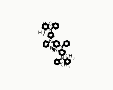 Cc1ccccc1N(c1ccc(N(c2ccccc2)c2ccc(N(c3ccccc3)c3ccc(N(c4ccccc4C)c4ccccc4C)cc3)c3nsnc23)cc1)c1ccccc1C